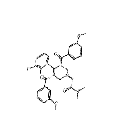 COc1cccc(C(=O)[C@H]2CN(CC(=O)N(C)C)C[C@H](C(=O)c3cccc(OC)c3)C2c2cccc(F)c2C)c1